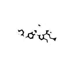 Cc1ccc(Nc2ccc3c(c2)ncn3-c2ccc(CCO)c(-c3c(C)n[nH]c3CC3CC3)n2)nn1.O=CO